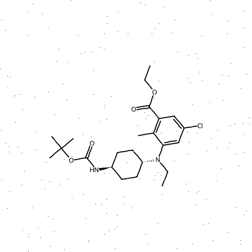 CCOC(=O)c1cc(Cl)cc(N(CC)[C@H]2CC[C@H](NC(=O)OC(C)(C)C)CC2)c1C